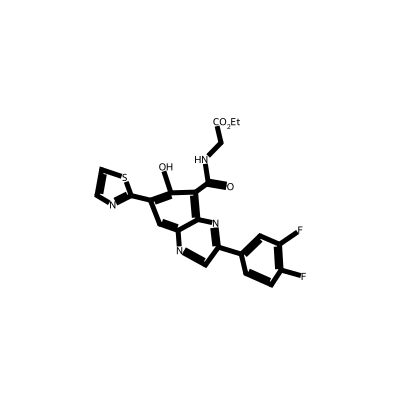 CCOC(=O)CNC(=O)c1c(O)c(-c2nccs2)cc2ncc(-c3ccc(F)c(F)c3)nc12